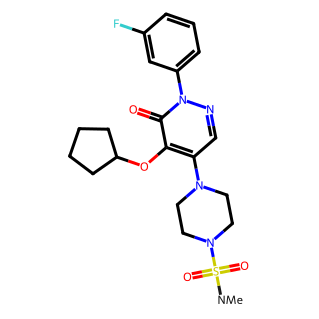 CNS(=O)(=O)N1CCN(c2cnn(-c3cccc(F)c3)c(=O)c2OC2CCCC2)CC1